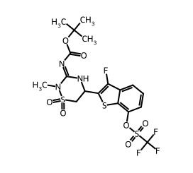 CN1C(=NC(=O)OC(C)(C)C)NC(c2sc3c(OS(=O)(=O)C(F)(F)F)cccc3c2F)CS1(=O)=O